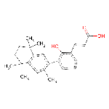 Cc1cc2c(cc1-c1cccc(C=CC(=O)O)c1O)C(C)(C)CCC2(C)C